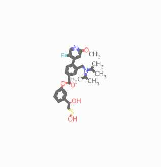 COc1cc(-c2ccc(C(=O)Oc3cccc([C@H](O)CSO)c3)cc2CN(C(C)C)C(C)C)c(F)cn1